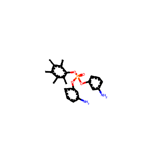 Cc1c(C)c(C)c(OP(=O)(Oc2cccc(N)c2)Oc2cccc(N)c2)c(C)c1C